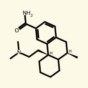 C[C@@H]1Cc2ccc(C(N)=O)cc2[C@@]2(CCN(C)C)CCCCC12